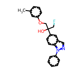 Cc1cccc(OCC(O)(CF)c2ccc3c(cnn3-c3ccccc3)c2)c1